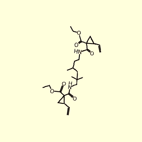 C=CC1CC1(C(=O)NCCC(C)CC(C)(C)CNC(=O)C1(C(=O)OCC)CC1C=C)C(=O)OCC